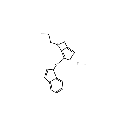 CCCP1CC2=CC[C]([Zr+2][CH]3C=Cc4ccccc43)=C21.[F-].[F-]